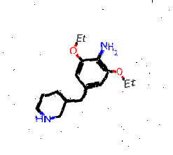 CCOc1cc(CC2[CH]CCNC2)cc(OCC)c1N